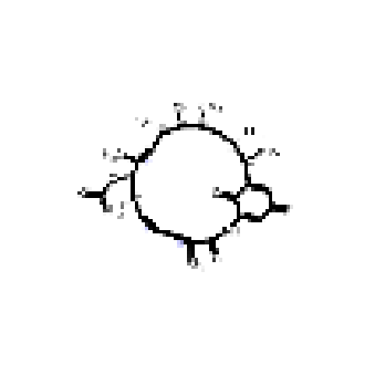 CO[C@H]1/C=C\C=C(/C)C(=O)NC2=CC(=O)C=C(C2=O)[C@H](OC)[C@@H](C)C[C@H](OC)[C@H](O)[C@@H](C)/C=C(\C)[C@@H]1OC(N)=O